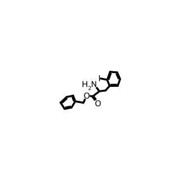 NC(Cc1ccccc1I)C(=O)OCc1ccccc1